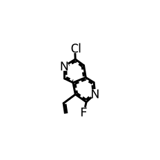 C=Cc1c(F)ncc2cc(Cl)ncc12